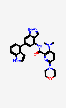 CN(C)c1ccc(N2CCOCC2)nc1C(=O)Nc1cc(-c2cccc3[nH]ccc23)cc2[nH]ncc12